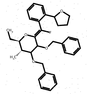 CC[C@H]1OC(=C(F)c2ccccc2C2CCCO2)C(OCc2ccccc2)C(OCc2ccccc2)[C@@H]1C